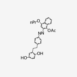 CCCOc1cc(N=Nc2ccc(CCc3cc(O)ccc3O)cc2)c(OC(C)=O)c2ccccc12